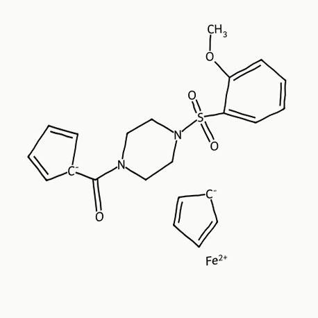 COc1ccccc1S(=O)(=O)N1CCN(C(=O)[c-]2cccc2)CC1.[Fe+2].c1cc[cH-]c1